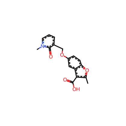 Cc1oc2ccc(OCc3cccn(C)c3=O)cc2c1C(=O)O